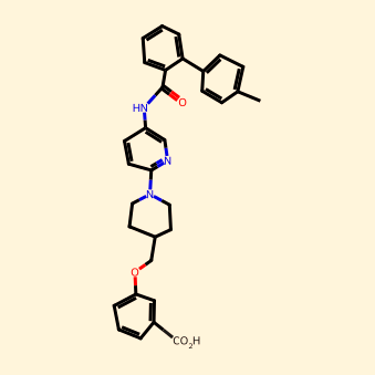 Cc1ccc(-c2ccccc2C(=O)Nc2ccc(N3CCC(COc4cccc(C(=O)O)c4)CC3)nc2)cc1